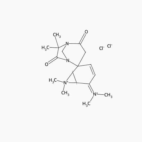 C[N+](C)=C1C=CC2(CC(=O)N3CN2C(=O)C3(C)C)[C]2[C]1[N+]2(C)C.[Cl-].[Cl-]